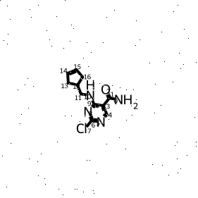 NC(=O)c1cnc(Cl)nc1NCC1CC=CC1